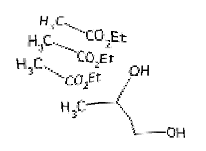 CC(O)CO.CCOC(C)=O.CCOC(C)=O.CCOC(C)=O